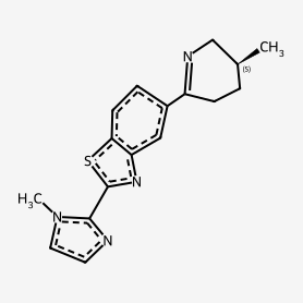 C[C@H]1CCC(c2ccc3sc(-c4nccn4C)nc3c2)=NC1